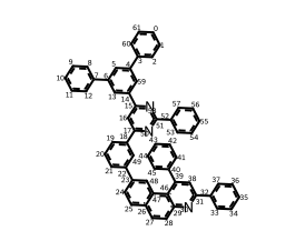 c1ccc(-c2cc(-c3ccccc3)cc(-c3cc(-c4cccc(-c5ccc6ccc7nc(-c8ccccc8)cc(-c8ccccc8)c7c6c5)c4)nc(-c4ccccc4)n3)c2)cc1